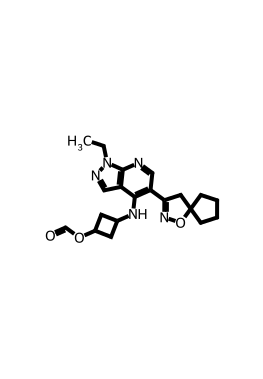 CCn1ncc2c(NC3CC(OC=O)C3)c(C3=NOC4(CCCC4)C3)cnc21